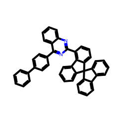 c1ccc(-c2ccc(-c3nc(-c4cccc5c4-c4ccccc4C54c5ccccc5-c5ccccc54)nc4ccccc34)cc2)cc1